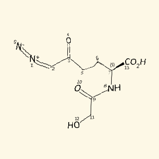 [N-]=[N+]=CC(=O)CC[C@H](NC(=O)CO)C(=O)O